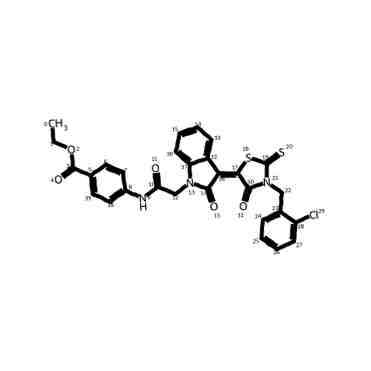 CCOC(=O)c1ccc(NC(=O)CN2C(=O)C(=C3SC(=S)N(Cc4ccccc4Cl)C3=O)c3ccccc32)cc1